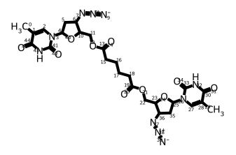 Cc1cn(C2CC(N=[N+]=[N-])C(COC(=O)CCCCC(=O)OCC3OC(n4cc(C)c(=O)[nH]c4=O)CC3N=[N+]=[N-])O2)c(=O)[nH]c1=O